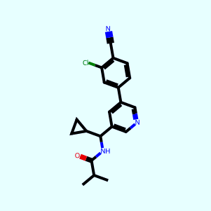 CC(C)C(=O)NC(c1cncc(-c2ccc(C#N)c(Cl)c2)c1)C1CC1